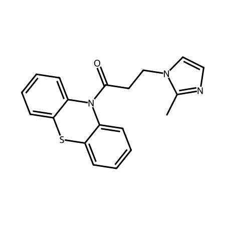 Cc1nccn1CCC(=O)N1c2ccccc2Sc2ccccc21